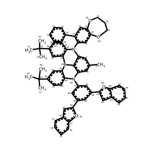 Cc1cc2c3c(c1)N(c1cc4c(cc1-c1ccccc1)OCCCO4)c1ccc(C(C)(C)C)cc1B3c1cc(C(C)(C)C)ccc1N2c1cc(-c2cc3ccccc3o2)cc(-c2cc3ccccc3o2)c1